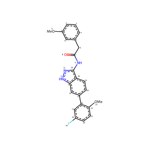 COc1cccc(CC(=O)Nc2n[nH]c3cc(-c4cc(F)ccc4OC)ccc23)c1